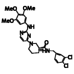 COc1cc(Nc2nccc(N3CCC[C@H](C(=O)NCc4ccc(Cl)c(Cl)c4)C3)n2)cc(OC)c1OC